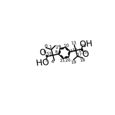 CC(C)C(C)(C(=O)O)c1ccc(C(C)(C(=O)O)C(C)C)cc1